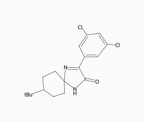 CC(C)(C)C1CCC2(CC1)N=C(c1cc(Cl)cc(Cl)c1)C(=O)N2